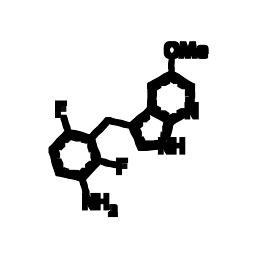 COc1cnc2[nH]cc(Cc3c(F)ccc(N)c3F)c2c1